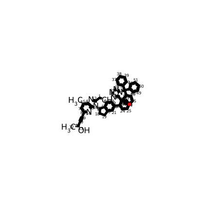 CCc1nc2c(C)cc(C#C[C@@H](C)O)nc2n1[C@H]1CCc2cc(-c3ccccc3-c3nnnn3C(c3ccccc3)(c3ccccc3)c3ccccc3)ccc21